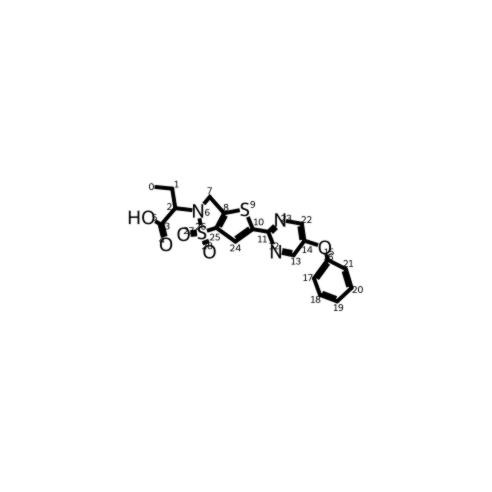 CCC(C(=O)O)N1Cc2sc(-c3ncc(Oc4ccccc4)cn3)cc2S1(=O)=O